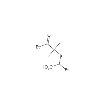 CCC(=O)C(C)(C)SC(CC)C(=O)O